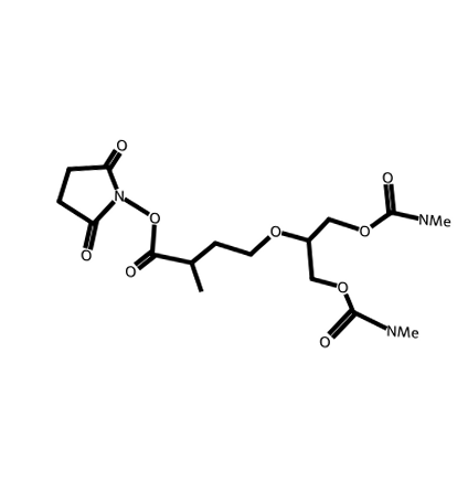 CNC(=O)OCC(COC(=O)NC)OCCC(C)C(=O)ON1C(=O)CCC1=O